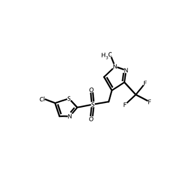 Cn1cc(CS(=O)(=O)c2ncc(Cl)s2)c(C(F)(F)F)n1